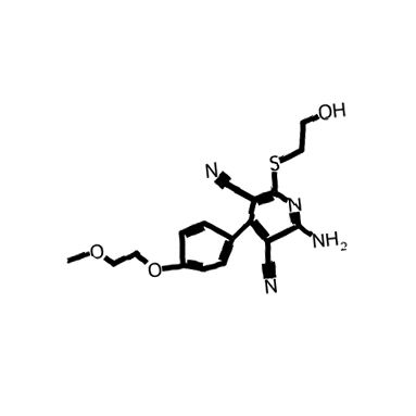 COCCOc1ccc(-c2c(C#N)c(N)nc(SCCO)c2C#N)cc1